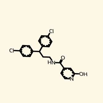 O=C(NCCC(c1ccc(Cl)cc1)c1ccc(Cl)cc1)c1ccnc(O)c1